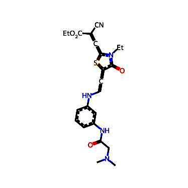 CCOC(=O)C(=C=c1sc(=C=CNc2cccc(NC(=O)CN(C)C)c2)c(=O)n1CC)C#N